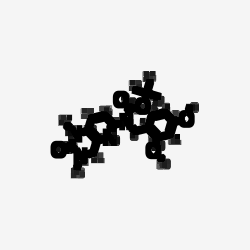 COc1ccc(CN(C(=O)OC(C)(C)C)c2ccc3c(n2)CN(C)C(=O)N3C)c(OC)c1